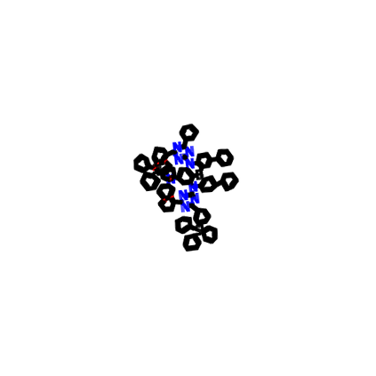 c1ccc(-c2ccc3c(c2)B2c4cc(-c5ccccc5)ccc4N(c4nc(-c5ccccc5)nc(-c5cccc([Si](c6ccccc6)(c6ccccc6)c6ccccc6)c5)n4)c4cc(N(c5ccccc5)c5ccccc5)cc(c42)N3c2nc(-c3ccccc3)nc(-c3cccc([Si](c4ccccc4)(c4ccccc4)c4ccccc4)c3)n2)cc1